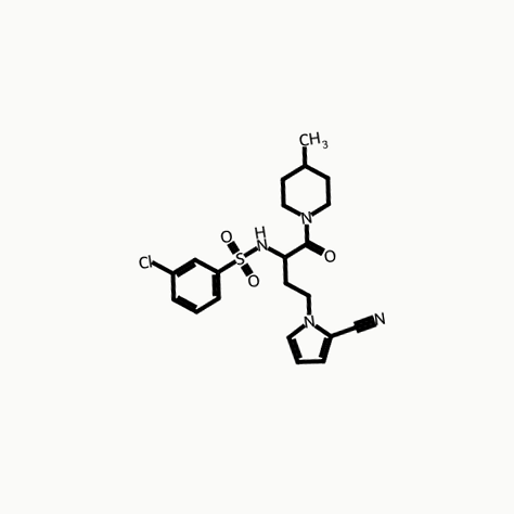 CC1CCN(C(=O)C(CCn2cccc2C#N)NS(=O)(=O)c2cccc(Cl)c2)CC1